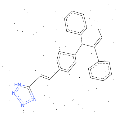 CC=C(c1ccccc1)C(c1ccccc1)c1ccc(C=Cc2nnn[nH]2)cc1